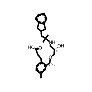 Cc1ccc(CCC(=O)O)c([C@@H](C)OC[C@@H](O)CNC(C)(C)CC2Cc3ccccc3C2)c1